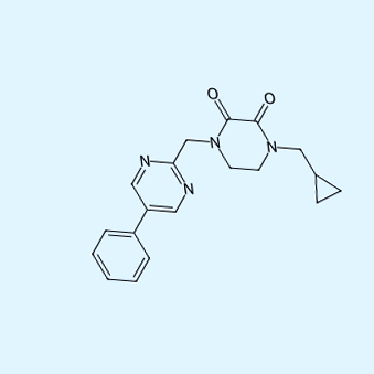 O=C1C(=O)N(CC2CC2)CCN1Cc1ncc(-c2ccccc2)cn1